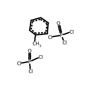 Cc1ccccc1.O=P(Cl)(Cl)Cl.O=P(Cl)(Cl)Cl